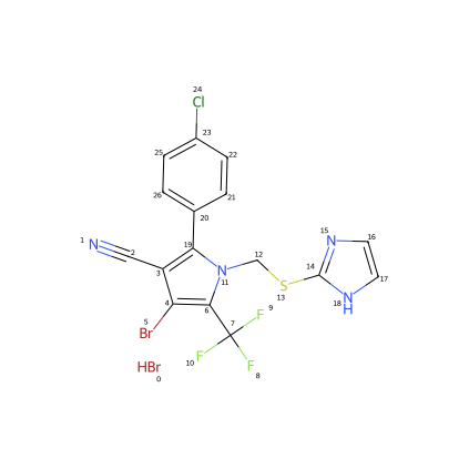 Br.N#Cc1c(Br)c(C(F)(F)F)n(CSc2ncc[nH]2)c1-c1ccc(Cl)cc1